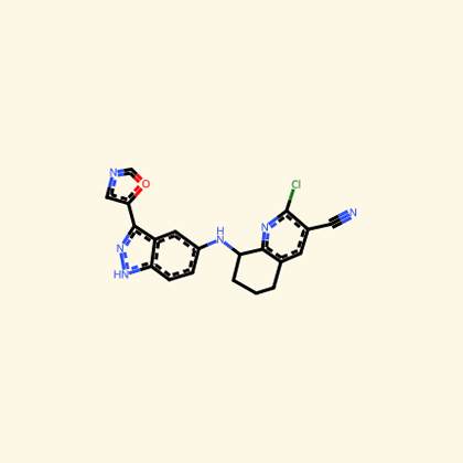 N#Cc1cc2c(nc1Cl)C(Nc1ccc3[nH]nc(-c4cnco4)c3c1)CCC2